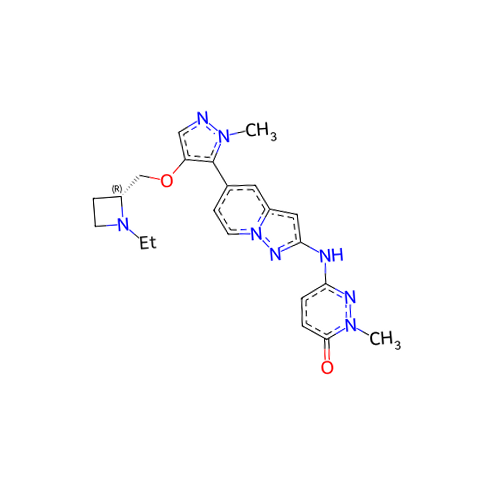 CCN1CC[C@@H]1COc1cnn(C)c1-c1ccn2nc(Nc3ccc(=O)n(C)n3)cc2c1